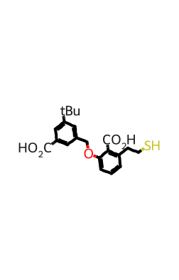 CC(C)(C)c1cc(COc2cccc(CCS)c2C(=O)O)cc(C(=O)O)c1